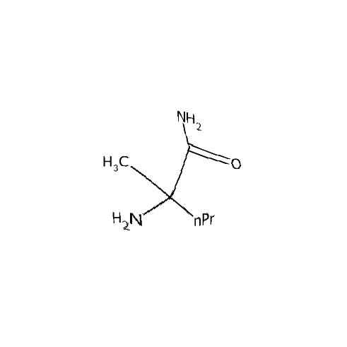 CCCC(C)(N)C(N)=O